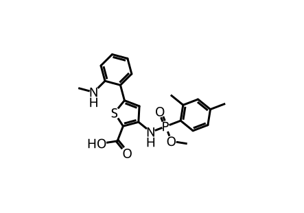 CNc1ccccc1-c1cc(NP(=O)(OC)c2ccc(C)cc2C)c(C(=O)O)s1